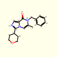 Cc1cn2c(C3CCOCC3)ncc2c(=O)n1Cc1ccccc1